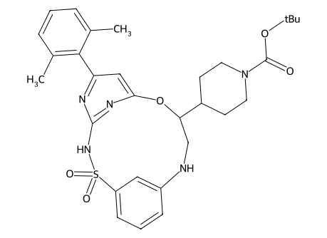 Cc1cccc(C)c1-c1cc2nc(n1)NS(=O)(=O)c1cccc(c1)NCC(C1CCN(C(=O)OC(C)(C)C)CC1)O2